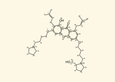 CC(C)=CCc1c(OCCCCN2CCCC2)cc2oc3cc(OCCCCN4CCCC4C(=O)O)cc(CC=C(C)C)c3c(=O)c2c1O